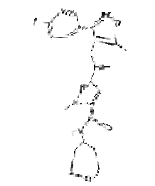 Cc1onc(-c2ccc(F)cc2)c1CNc1cc(C(=O)NC2CCOCC2)n(C)n1